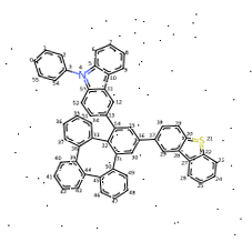 c1ccc(-n2c3ccccc3c3cc(-c4cc(-c5ccc6sc7ccccc7c6c5)cc5c4-c4ccccc4-c4ccccc4-c4ccccc4-5)ccc32)cc1